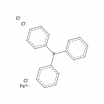 [Cl-].[Cl-].[Cl-].[Fe+3].c1ccc(P(c2ccccc2)c2ccccc2)cc1